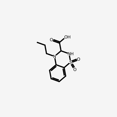 CCCN1c2ccccc2S(=O)(=O)NC1C(=O)O